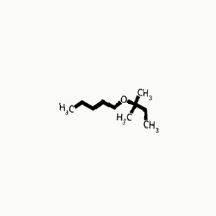 CCCCCOC(C)(C)CC